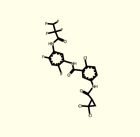 O=C(Nc1cc(NC(=O)C(F)(F)C(F)F)c(F)cc1F)c1cc(NC(=O)C2CC2(Cl)Cl)ccc1Cl